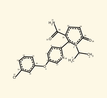 CC(C)n1c(-c2ccc(Oc3cccc(Cl)c3)cn2)c(C(N)=O)ccc1=O